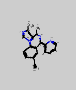 C#Cc1ccc2c(c1)C(c1ccccn1)=N[C@H](C)c1c(C(=O)O)ncn1-2